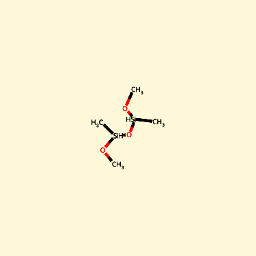 CO[SiH](C)O[SiH](C)OC